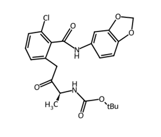 C[C@H](NC(=O)OC(C)(C)C)C(=O)Cc1cccc(Cl)c1C(=O)Nc1ccc2c(c1)OCO2